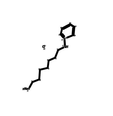 CCCCCCCCCCCCCCCCN[n+]1ccccc1.[Cl-]